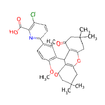 COc1ccc(-c2ccc(Cl)c(C(=O)O)n2)c(C)c1C1C2=C(CC(C)(C)CC2=O)OC2=C1C(=O)CC(C)(C)C2